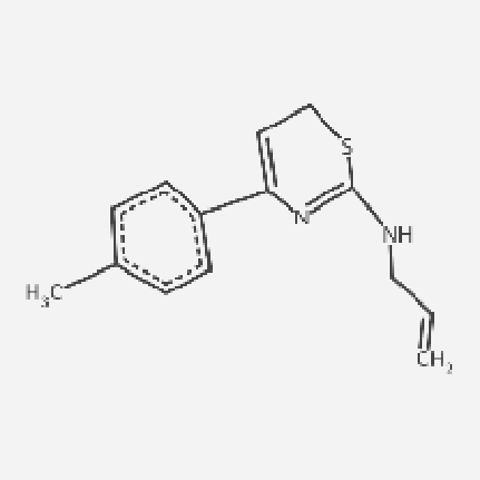 C=CCNC1=NC(c2ccc(C)cc2)=CCS1